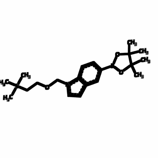 CC1(C)OB(c2ccc3c(ccn3COCC[Si](C)(C)C)c2)OC1(C)C